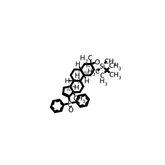 CC(C)(C)[Si](C)(C)O[C@]1(C)CC[C@H]2[C@H](CC[C@@H]3[C@@H]2CC[C@]2(C)C(P(=O)(c4ccccc4)c4ccccc4)=CC[C@@H]32)C1